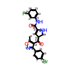 Cc1onc(-c2ccc(Br)cc2)c1C(=O)C1C=C(C(=O)Nc2cccc(F)c2)NC1